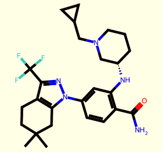 CC1(C)CCc2c(C(F)(F)F)nn(-c3ccc(C(N)=O)c(N[C@H]4CCCN(CC5CC5)C4)c3)c2C1